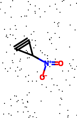 O=[N+]([O-])C1C#C1